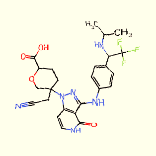 CC(C)NC(c1ccc(Nc2nn(C3(CC#N)CCC(C(=O)O)OC3)c3cc[nH]c(=O)c23)cc1)C(F)(F)F